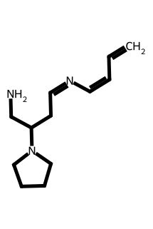 C=C/C=C\N=C/CC(CN)N1CCCC1